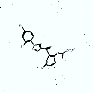 CCc1cc(Br)ccc1-n1cc(C(=O)c2cc(Br)ccc2OC(C)C(=O)O)cn1